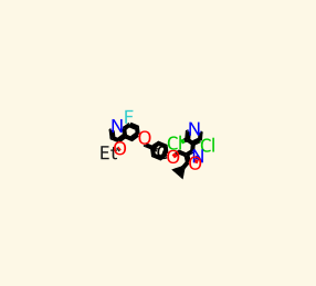 CCOc1ccnc2c(F)cc(OCC34CCC(OCc5c(-c6c(Cl)cncc6Cl)noc5C5CC5)(CC3)CC4)cc12